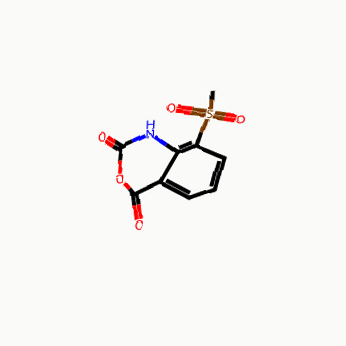 CS(=O)(=O)c1cccc2c(=O)oc(=O)[nH]c12